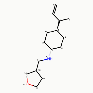 C=CC(C)[C@H]1CC[C@H](NCC2CCOC2)CC1